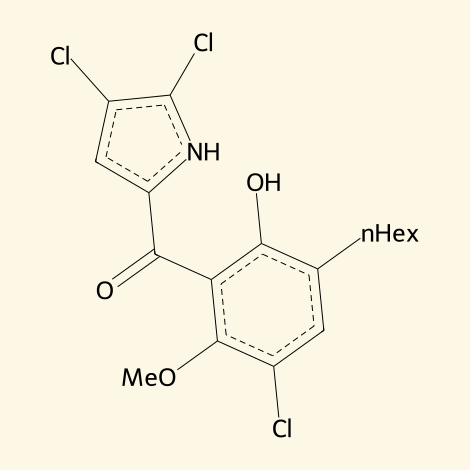 CCCCCCc1cc(Cl)c(OC)c(C(=O)c2cc(Cl)c(Cl)[nH]2)c1O